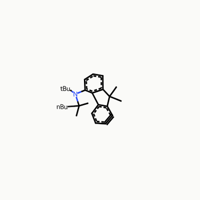 CCCCC(C)(C)N(c1cccc2c1-c1ccc#cc1C2(C)C)C(C)(C)C